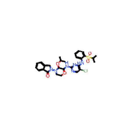 CC(C)OC1C(Nc2ncc(Cl)c(Nc3ccccc3S(=O)(=O)C(C)C)n2)OCCN1N1Cc2ccccc2C1=O